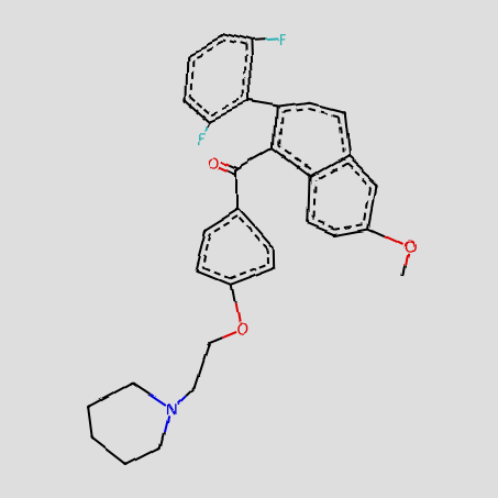 COc1ccc2c(C(=O)c3ccc(OCCN4CCCCC4)cc3)c(-c3c(F)cccc3F)ccc2c1